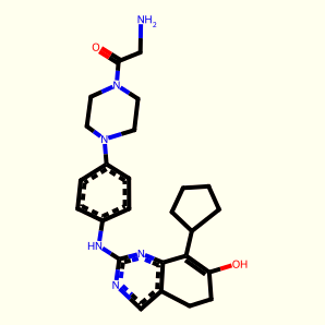 NCC(=O)N1CCN(c2ccc(Nc3ncc4c(n3)C(C3CCCC3)=C(O)CC4)cc2)CC1